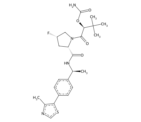 Cc1ncsc1-c1ccc([C@H](C)NC(=O)[C@@H]2C[C@H](F)CN2C(=O)[C@@H](OC(N)=O)C(C)(C)C)cc1